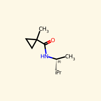 CC(C)[C@@H](C)NC(=O)C1(C)CC1